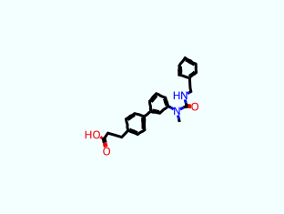 CN(C(=O)NCc1ccccc1)c1cccc(-c2ccc(CCC(=O)O)cc2)c1